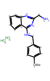 COc1ccc(CNc2nc(CN)nc3ccccc23)cc1.Cl.Cl